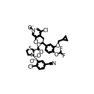 N#Cc1ccc(Cl)c(S(=O)(=O)N2CCS[C@H]2C(=O)O[C@@H](Cc2c(Cl)c[n+]([O-])cc2Cl)c2ccc(OC(F)F)c(OCC3CC3)c2)c1